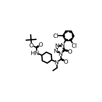 CCN(C(=O)n1nnn(-c2c(Cl)cccc2Cl)c1=O)C1CCC(NC(=O)OC(C)(C)C)CC1